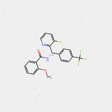 COc1ccccc1C(=O)N[C@@H](c1ccc(C(F)(F)F)cc1)c1ncccc1F